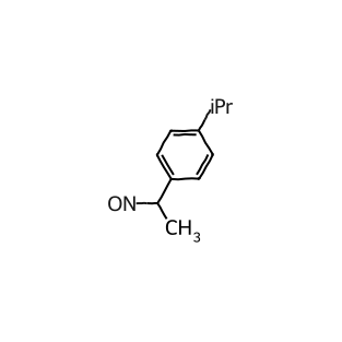 CC(C)c1ccc(C(C)N=O)cc1